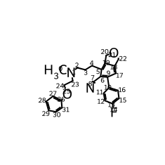 CN(CCCc1c(C#N)c(-c2ccc(F)cc2)cc2c1COC2)CCOc1ccccc1